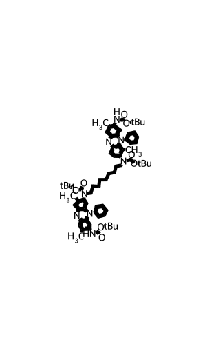 Cc1cc2nc3cc(C)c(N(CCCCCCCCCN(C(=O)OC(C)(C)C)c4ccc5nc6cc(C)c(NC(=O)OC(C)(C)C)cc6[n+](-c6ccccc6)c5c4C)C(=O)OC(C)(C)C)cc3[n+](-c3ccccc3)c2cc1NC(=O)OC(C)(C)C